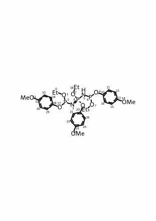 CCOP(N=P(NP(OCC)Oc1ccc(OC)cc1)(OCC)Oc1ccc(OC)cc1)Oc1ccc(OC)cc1